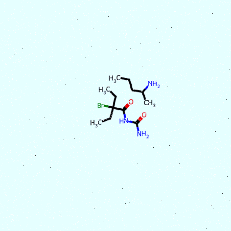 CCC(Br)(CC)C(=O)NC(N)=O.CCCC(C)N